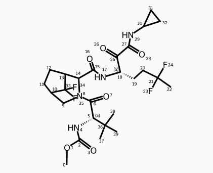 COC(=O)N[C@H](C(=O)N1CC2CCC(C1C(=O)N[C@@H](CCC(C)(F)F)C(=O)C(=O)NC1CC1)C2(F)F)C(C)(C)C